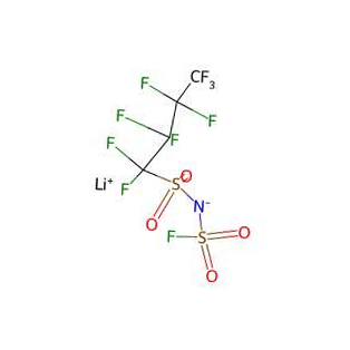 O=S(=O)(F)[N-]S(=O)(=O)C(F)(F)C(F)(F)C(F)(F)C(F)(F)F.[Li+]